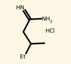 CCC(C)CC(=N)N.Cl